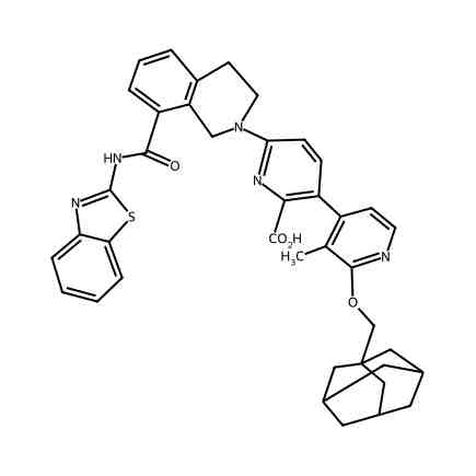 Cc1c(-c2ccc(N3CCc4cccc(C(=O)Nc5nc6ccccc6s5)c4C3)nc2C(=O)O)ccnc1OCC12CC3CC(CC(C3)C1)C2